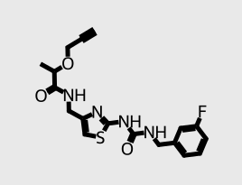 C#CCOC(C)C(=O)NCc1csc(NC(=O)NCc2cccc(F)c2)n1